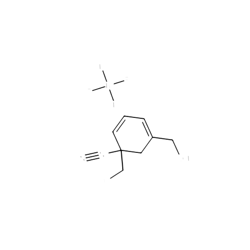 F[B-](F)(F)F.N#[N+]C1(CO)C=CC=C(CO)C1